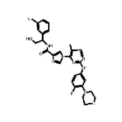 Cc1cnc(Nc2ccc(F)c(N3CCOCC3)c2)nc1-n1cnc(C(=O)NC(CO)c2cccc(Cl)c2)c1